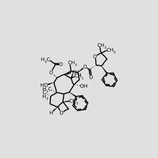 CC(=O)O[C@@H]1C2=C(C)[C@@H](OC(=O)[C@@H]3OC(C)(C)C[C@H]3c3ccccc3)C[C@@](O)([C@@H](c3ccccc3)C3[C@@](C)([C@@H](C)C[C@H]4OC[C@@]34C)[C@H]1O)C2(C)C